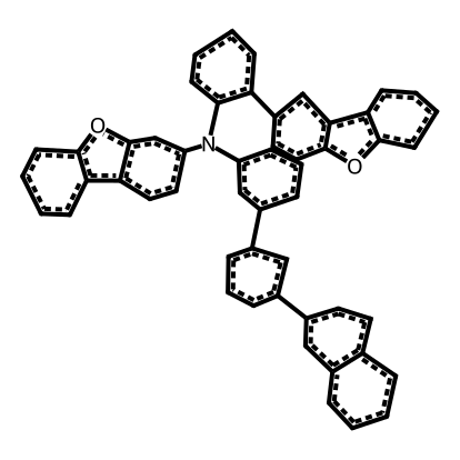 c1cc(-c2cccc(N(c3ccc4c(c3)oc3ccccc34)c3ccccc3-c3ccc4oc5ccccc5c4c3)c2)cc(-c2ccc3ccccc3c2)c1